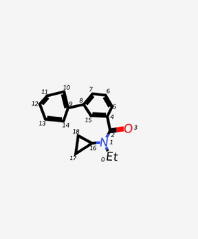 CCN(C(=O)c1cccc(-c2ccccc2)c1)C1CC1